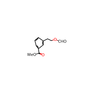 COC(=O)c1cccc(CCOC=O)c1